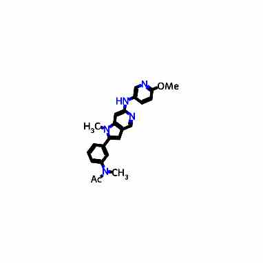 COc1ccc(Nc2cc3c(cn2)cc(-c2cccc(N(C)C(C)=O)c2)n3C)cn1